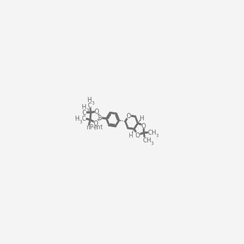 CCCCCC1(C)OB(c2ccc([C@H]3C[C@@H]4OC(C)(C)O[C@@H]4CO3)cc2)OC1(C)C